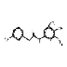 CCOc1nc(NC(=O)Cc2cccc(C(F)(F)F)c2)cc(N)c1C#N